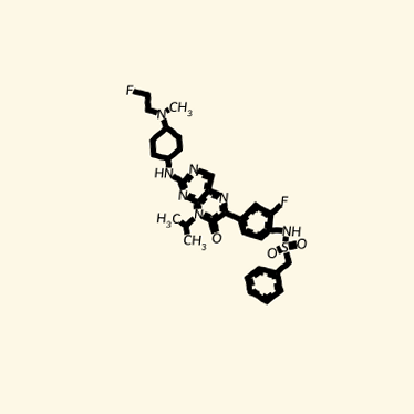 CC(C)n1c(=O)c(-c2ccc(NS(=O)(=O)Cc3ccccc3)c(F)c2)nc2cnc(NC3CCC(N(C)CCF)CC3)nc21